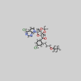 CC1(C)O[C@@H]2[C@H](O1)[C@@H](C(=O)c1ccc(Cl)cc1CCCO[Si](C)(C)C(C)(C)C)O[C@H]2n1ccc2c(Cl)ncnc21